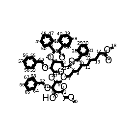 COC[C@H]1O[C@H](OCCCCCCCCC(=O)OC)[C@H](O[C@H]2O[C@H](COCc3ccccc3)[C@@H](OCc3ccccc3)[C@H](OCc3ccccc3)[C@H]2OCc2ccccc2)[C@@H](OCc2ccccc2)[C@@H]1O